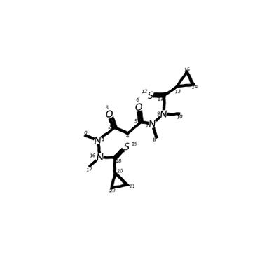 CN(C(=O)CC(=O)N(C)N(C)C(=S)C1CC1)N(C)C(=S)C1CC1